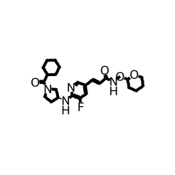 O=C(C=Cc1cnc(N[C@@H]2CCN(C(=O)C3CCCCC3)C2)c(F)c1)NOC1CCCCO1